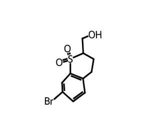 O=S1(=O)c2cc(Br)ccc2CCC1CO